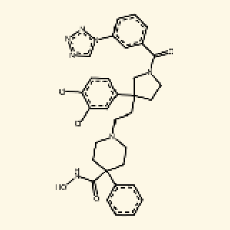 O=C(c1cccc(-n2cnnn2)c1)N1CCC(CCN2CCC(C(=O)NO)(c3ccccc3)CC2)(c2ccc(Cl)c(Cl)c2)C1